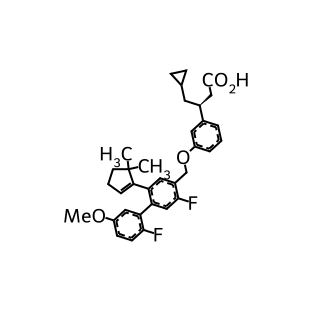 COc1ccc(F)c(-c2cc(F)c(COc3cccc([C@H](CC(=O)O)CC4CC4)c3)cc2C2=CCCC2(C)C)c1